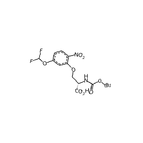 CC(C)(C)OC(=O)N[C@@H](COc1cc(OC(F)F)ccc1[N+](=O)[O-])C(=O)O